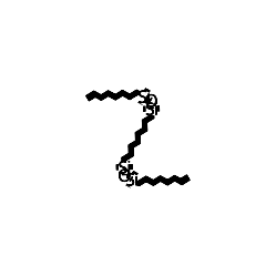 C=CCCCCCC[Si](C)(C)O[Si](C)(C)CCCCCCCC[Si](C)(C)O[Si](C)(C)CCCCCCC=C